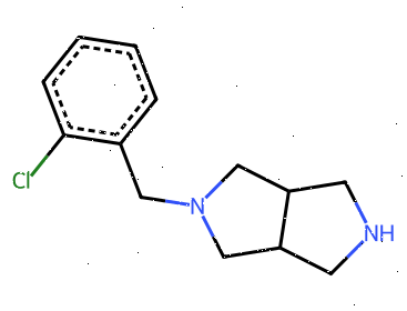 Clc1ccccc1CN1CC2CNCC2C1